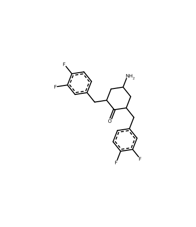 NC1CC(Cc2ccc(F)c(F)c2)C(=O)C(Cc2ccc(F)c(F)c2)C1